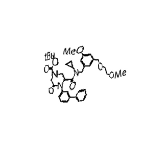 COCCOCc1cc(CN(C(=O)C2CN(C(=O)OC(C)(C)C)CC(=O)N2c2cccc(-c3ccccc3)c2)C2CC2)cc(OC)c1